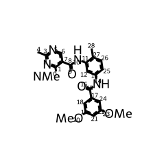 CNc1nc(C)ncc1C(=O)Nc1cc(NC(=O)c2cc(OC)cc(OC)c2)ccc1C